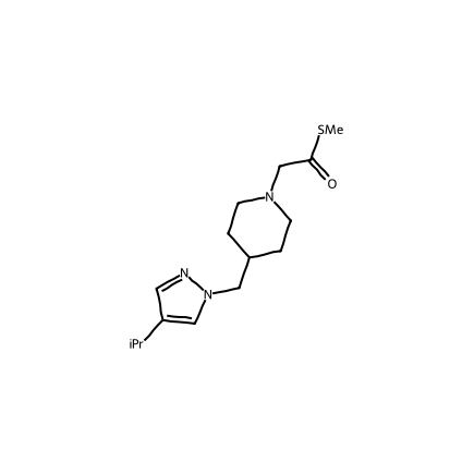 CSC(=O)CN1CCC(Cn2cc(C(C)C)cn2)CC1